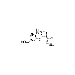 CC(C)(C)OC(=O)N1CC[C@@H](Nc2ncc(CO)cc2Cl)C1